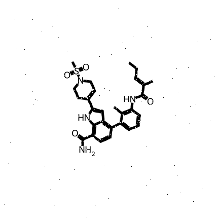 CCC=C(C)C(=O)Nc1cccc(-c2ccc(C(N)=O)c3[nH]c(C4=CCN(S(C)(=O)=O)CC4)cc23)c1C